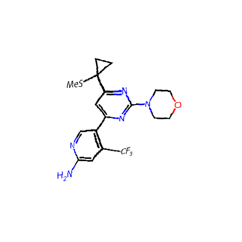 CSC1(c2cc(-c3cnc(N)cc3C(F)(F)F)nc(N3CCOCC3)n2)CC1